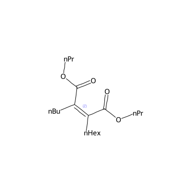 CCCCCC/C(C(=O)OCCC)=C(\CCCC)C(=O)OCCC